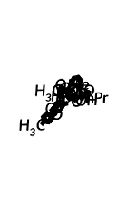 CCCC(=O)C(O)[C@H](CC1CCCCC1)NC(=O)[C@H](Cc1cn(S(=O)(=O)c2ccc(C)cc2)cn1)NC(=O)OC(C)(OC)OC